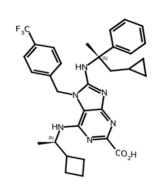 C[C@@H](Nc1nc(C(=O)O)nc2nc(N[C@@](C)(CC3CC3)c3ccccc3)n(Cc3ccc(C(F)(F)F)cc3)c12)C1CCC1